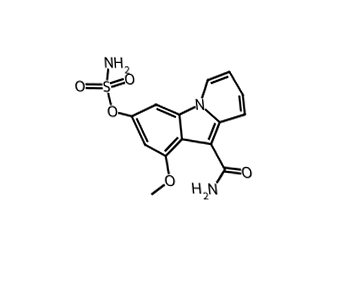 COc1cc(OS(N)(=O)=O)cc2c1c(C(N)=O)c1ccccn12